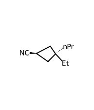 CCC[C@]1(CC)C[C@@H](C#N)C1